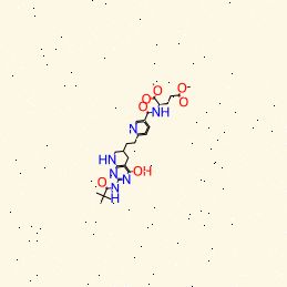 COC(=O)CC[C@@H](NC(=O)c1ccc(CCC2CNc3nc(NC(=O)C(C)(C)C)nc(O)c3C2)nc1)C(=O)OC